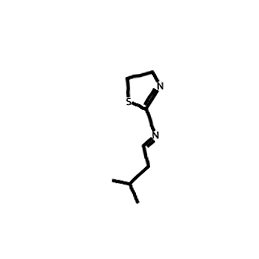 CC(C)CC=NC1=NCCS1